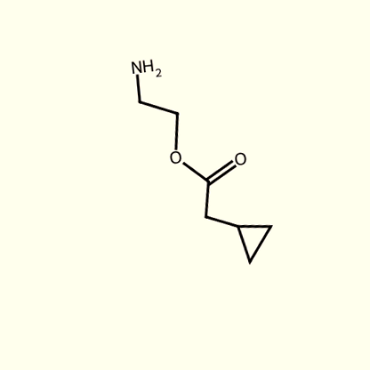 NCCOC(=O)CC1CC1